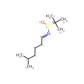 CC(C)CCC/C=N/[S+]([O-])C(C)(C)C